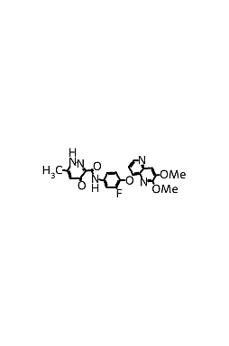 COc1cc2nccc(Oc3ccc(NC(=O)c4n[nH]c(C)cc4=O)cc3F)c2nc1OC